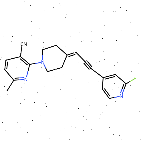 Cc1ccc(C#N)c(N2CCC(=CC#Cc3ccnc(F)c3)CC2)n1